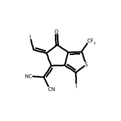 N#CC(C#N)=C1/C(=C/I)C(=O)c2c(C(F)(F)F)sc(I)c21